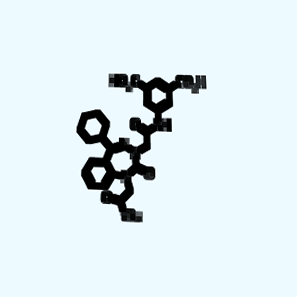 CC(C)(C)C(=O)CN1C(=O)N(CC(=O)Nc2cc(C(=O)O)cc(C(=O)O)c2)N=C(C2CCCCC2)c2ccccc21